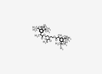 CC(C(=O)OCCN(CCOC(=O)C(C)c1cc(C(C)(C)C)c(O)c(C(C)(C)C)c1)C(=O)C(N)=O)c1cc(C(C)(C)C)c(O)c(C(C)(C)C)c1